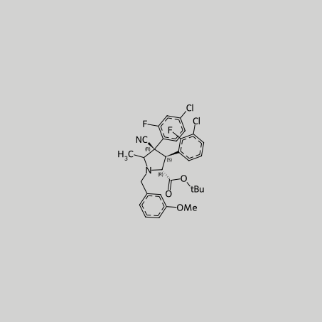 COc1cccc(CN2C(C)[C@](C#N)(c3ccc(Cl)cc3F)[C@@H](c3cccc(Cl)c3F)[C@@H]2C(=O)OC(C)(C)C)c1